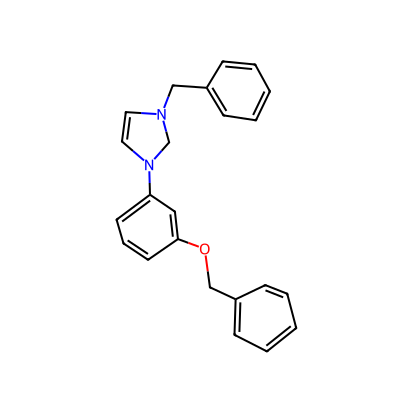 C1=CN(c2cccc(OCc3ccccc3)c2)CN1Cc1ccccc1